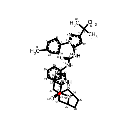 Cc1ccc(-n2nc(C(C)(C)C)cc2NC(=O)Nc2cccc(CC3CC4CCC(C3)N4C(=O)c3cnc[nH]3)c2)cc1